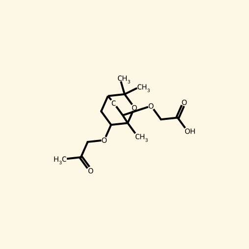 CC(=O)COC1CC2CC(OCC(=O)O)C1(C)OC2(C)C